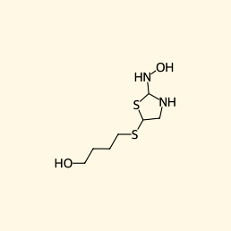 OCCCCSC1CNC(NO)S1